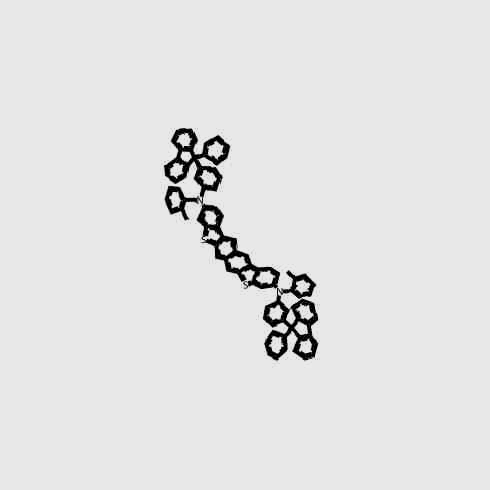 Cc1ccccc1N(c1cccc(C2(c3ccccc3)c3ccccc3-c3ccccc32)c1)c1ccc2c(c1)sc1cc3cc4sc5cc(N(c6cccc(C7(c8ccccc8)c8ccccc8-c8ccccc87)c6)c6ccccc6C)ccc5c4cc3cc12